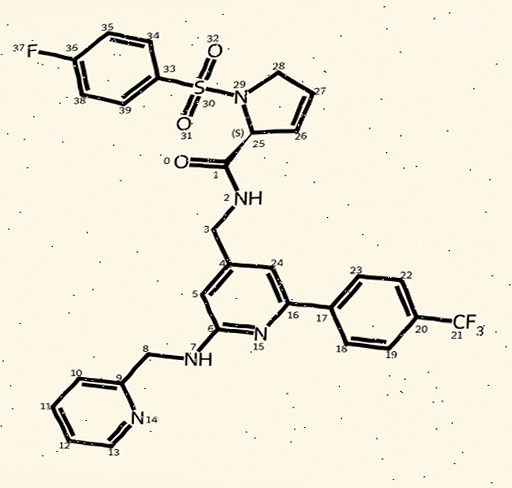 O=C(NCc1cc(NCc2ccccn2)nc(-c2ccc(C(F)(F)F)cc2)c1)[C@@H]1C=CCN1S(=O)(=O)c1ccc(F)cc1